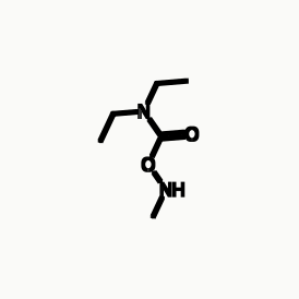 CCN(CC)C(=O)ONC